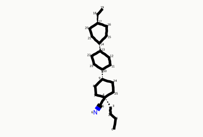 CCCC[C@]1(C#N)CC[C@H](C2CCC([C@H]3CC[C@H](CC)CC3)CC2)CC1